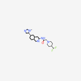 Cn1cncc1-c1ccc2cnc(NC(=O)CN3CCC(C(F)F)CC3)cc2c1